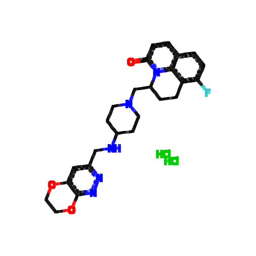 Cl.Cl.O=c1ccc2ccc(F)c3c2n1C(CN1CCC(NCc2cc4c(nn2)OCCO4)CC1)CC3